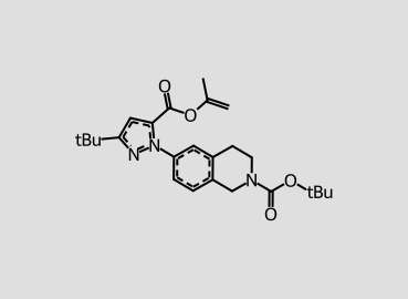 C=C(C)OC(=O)c1cc(C(C)(C)C)nn1-c1ccc2c(c1)CCN(C(=O)OC(C)(C)C)C2